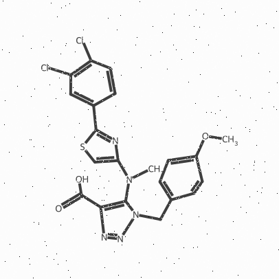 COc1ccc(Cn2nnc(C(=O)O)c2N(C)c2csc(-c3ccc(Cl)c(Cl)c3)n2)cc1